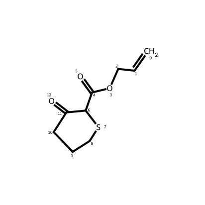 C=CCOC(=O)C1SCCCC1=O